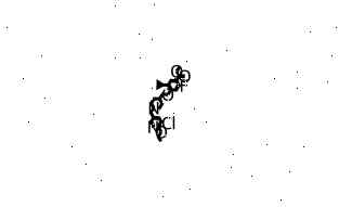 CCOc1ncc(CN2CCC(COc3cc(F)c(C(=O)OC)cc3C3CC3)CC2)cc1Cl